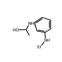 CC(N)O.CCNc1ccccc1